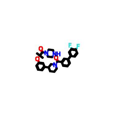 CC(C)(Oc1cccc(C2CCCN(C(=O)c3cccc(-c4ccc(F)c(F)c4)c3)C2)c1)C(=O)N1CCNCC1